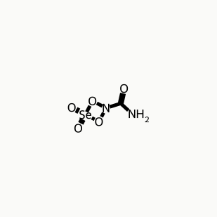 NC(=O)N1O[Se](=O)(=O)O1